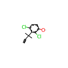 C#CC(C)(C)c1c(Cl)ccc([O])c1Cl